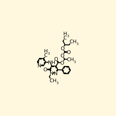 CCC(CC)OC(=O)OC(C)OC(=O)c1c(-c2ccccc2)nn(CC)c(=O)c1Nc1cnccc1C